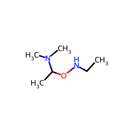 CCNOC(C)N(C)C